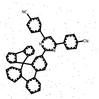 N#Cc1ccc(-c2cc(-c3ccc(C#N)cc3)nc(-c3ccc4c(c3)C3(c5ccccc5-c5ccccc5-4)c4ccccc4-c4ccccc43)n2)cc1